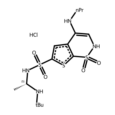 CCCNC1=CNS(=O)(=O)c2sc(S(=O)(=O)N[C@@H](C)NC(C)(C)C)cc21.Cl